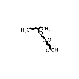 CCCCC(=COCCOC(=O)C=CC(=O)O)CC